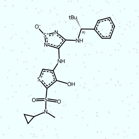 CN(C1CC1)S(=O)(=O)c1scc(Nc2n[s+]([O-])nc2N[C@@H](c2ccccc2)C(C)(C)C)c1O